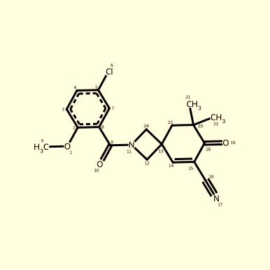 COc1ccc(Cl)cc1C(=O)N1CC2(C=C(C#N)C(=O)C(C)(C)C2)C1